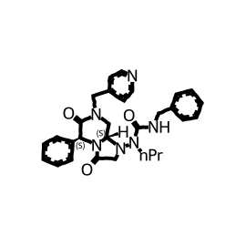 CCCN(C(=O)NCc1ccccc1)N1CC(=O)N2[C@@H](c3ccccc3)C(=O)N(Cc3ccncc3)C[C@@H]21